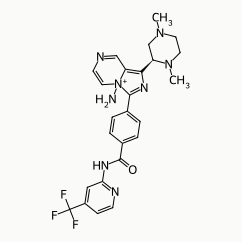 CN1CCN(C)[C@@H](C2=C3C=NC=C[N+]3(N)C(c3ccc(C(=O)Nc4cc(C(F)(F)F)ccn4)cc3)=N2)C1